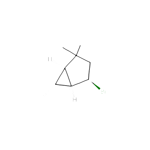 C[C@H]1[C@H]2[C@@H]1C(C)(C)C[C@H]2Br